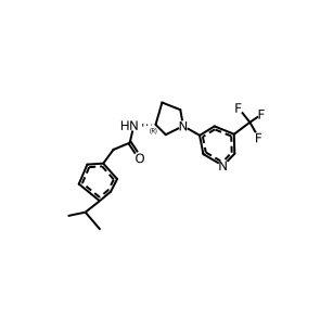 CC(C)c1ccc(CC(=O)N[C@@H]2CCN(c3cncc(C(F)(F)F)c3)C2)cc1